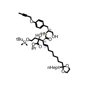 CC#CCOc1ccc(C[C@@H](CO)NC(=O)[C@@H](/C=C/CCCCCCC2(CCCCCCC)OCCO2)[C@@](O)(CCO[Si](C)(C)C(C)(C)C)C(=O)OC(C)C)cc1